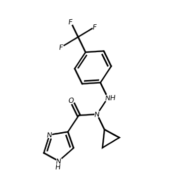 O=C(c1c[nH]cn1)N(Nc1ccc(C(F)(F)F)cc1)C1CC1